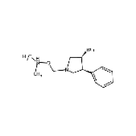 C[SiH](C)OCN1C[C@H](c2ccccc2)[C@H](C(C)(C)C)C1